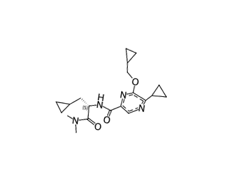 CN(C)C(=O)[C@H](CC1CC1)NC(=O)c1cnc(C2CC2)c(OCC2CC2)n1